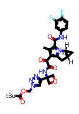 Cc1c(C(=O)C(=O)NC2(c3cn(COC(=O)C(C)(C)C)nn3)COC2)c2n(c1C(=O)Nc1ccc(F)c(F)c1)[C@@H]1C[C@@H]1C2